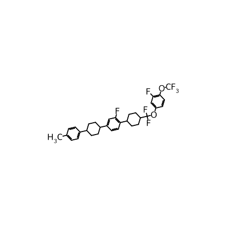 Cc1ccc(C2CCC(c3ccc(C4CCC(C(F)(F)Oc5ccc(OC(F)(F)F)c(F)c5)CC4)c(F)c3)CC2)cc1